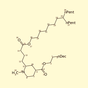 CCCCCCCCCCCCOC(=O)C1CCN(C)C(CCCC(=O)OCCCCCCCC(CCCCC)CCCCC)C1